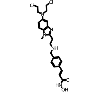 Cn1c(CCNCc2ccc(/C=C/C(=O)NO)cc2)nc2cc(N(CCCl)CCCl)ccc21